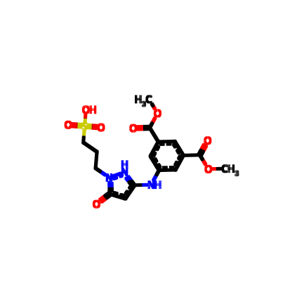 COC(=O)c1cc(Nc2cc(=O)n(CCCS(=O)(=O)O)[nH]2)cc(C(=O)OC)c1